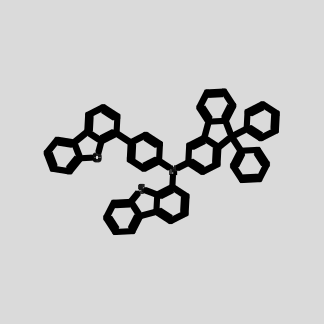 c1ccc(C2(c3ccccc3)c3ccccc3-c3cc(N(c4ccc(-c5cccc6c5oc5ccccc56)cc4)c4cccc5c4sc4ccccc45)ccc32)cc1